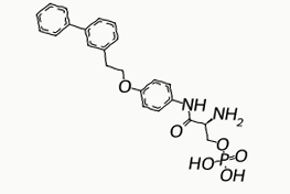 N[C@@H](COP(=O)(O)O)C(=O)Nc1ccc(OCCc2cccc(-c3ccccc3)c2)cc1